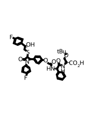 CC(C)(C)OC[C@@H](NC(=O)[C@H](NC(=O)COc1ccc(C2C(SC[C@H](O)c3ccc(F)cc3)C(=O)N2c2ccc(F)cc2)cc1)c1ccccc1)C(=O)O